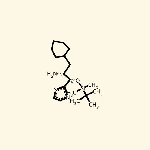 CC(C)(C)[Si](C)(C)O[C@H](c1nccs1)[C@H](N)CC1CCCCC1